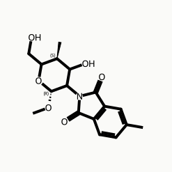 CO[C@@H]1OC(CO)[C@@H](C)C(O)C1N1C(=O)c2ccc(C)cc2C1=O